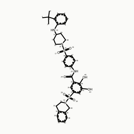 CC(C)(C)c1ccccc1NC1CCN(S(=O)(=O)c2ccc(NC(=O)c3cc(S(=O)(=O)N4CCc5ccccc5C4)cc(O)c3O)cc2)CC1